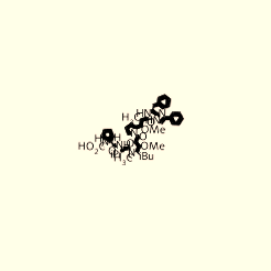 CC[C@H](C)[C@@H]([C@@H](CC(=O)N1CCCC1[C@H](OC)[C@@H](C)C(=O)N[C@@H](Cc1ccccc1)c1nc(-c2ccccc2)c[nH]1)OC)N(C)C(=O)C(NC(=O)[C@@H]1[C@H]2CC[C@H](C2)N1C(=O)O)C(C)C